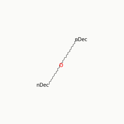 CCCCCCCCCCCCCCCCCCCCCCCCCCCCOCCCCCCCCCCCCCCCCCCCCCCCC